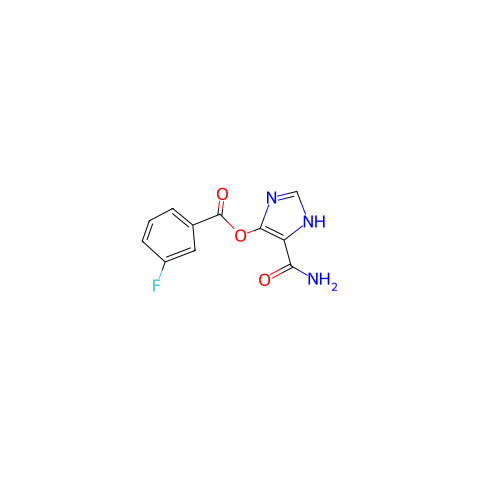 NC(=O)c1[nH]cnc1OC(=O)c1cccc(F)c1